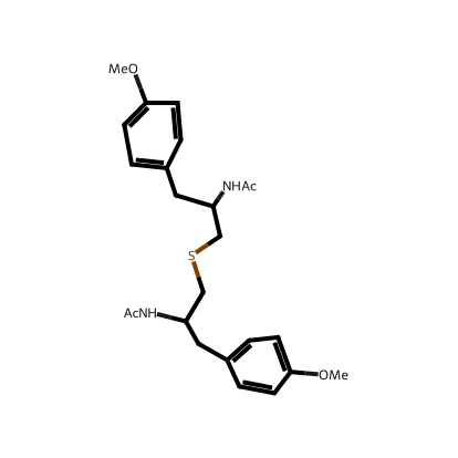 COc1ccc(CC(CSCC(Cc2ccc(OC)cc2)NC(C)=O)NC(C)=O)cc1